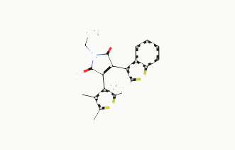 COc1sc2ccccc2c1C1=C(c2c(C)sc(C)c2C)C(=O)N(CC#N)C1=O